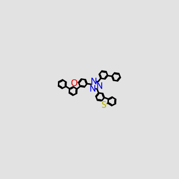 c1ccc(-c2cccc(-c3nc(-c4ccc5oc6c(-c7ccccc7)cccc6c5c4)nc(-c4ccc5sc6ccccc6c5c4)n3)c2)cc1